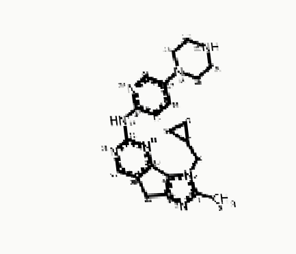 Cc1nc2c(n1CC1CC1)-c1nc(Nc3ccc(N4CCNCC4)cn3)ncc1C2